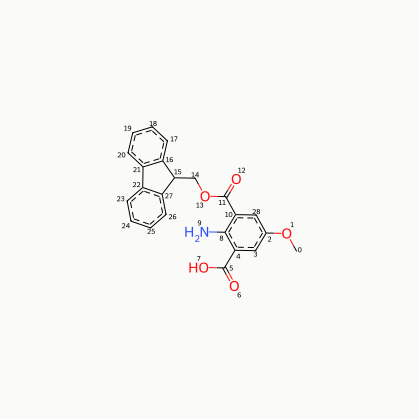 COc1cc(C(=O)O)c(N)c(C(=O)OCC2c3ccccc3-c3ccccc32)c1